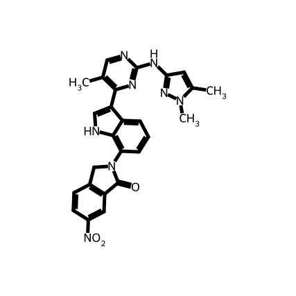 Cc1cnc(Nc2cc(C)n(C)n2)nc1-c1c[nH]c2c(N3Cc4ccc([N+](=O)[O-])cc4C3=O)cccc12